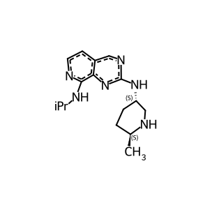 CC(C)Nc1nccc2cnc(N[C@H]3CC[C@H](C)NC3)nc12